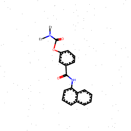 CCN(CC)C(=O)Oc1cccc(C(=O)Nc2cccc3ccccc23)c1